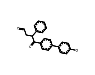 O=[C]CC(C(=O)c1ccc(-c2ccc(Cl)cc2)cc1)c1ccccc1